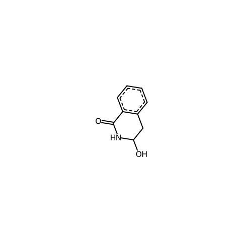 O=C1NC(O)Cc2ccccc21